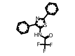 O=C(Nc1sc(-c2ccccc2)nc1-c1ccccc1)C(F)(F)F